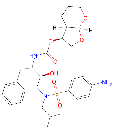 CC(C)CN(C[C@H](O)[C@H](Cc1ccccc1)NC(=O)O[C@@H]1CO[C@@H]2OCCC[C@@H]21)S(=O)(=O)c1ccc(N)cc1